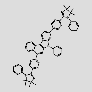 CC1(C)N=C(c2ccc(-c3ccc4c5c6ccccc6c(-c6ccc(C7=NC(C)(C)C(C)(C)N7c7ccccc7)nc6)cc5n(-c5ccccc5)c4c3)cn2)N(c2ccccc2)C1(C)C